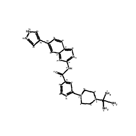 BC(B)(B)N1CCN(c2cc(C(=O)Nc3ncc4ccc(-c5cn[nH]c5)cc4n3)ccn2)CC1